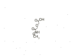 CONC(=O)COCC(=O)O